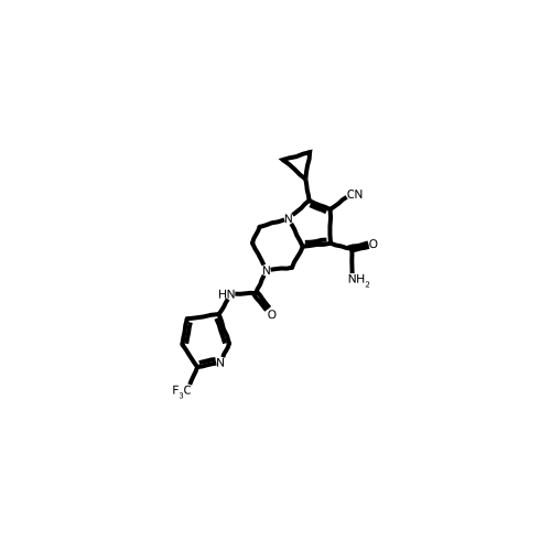 N#Cc1c(C(N)=O)c2n(c1C1CC1)CCN(C(=O)Nc1ccc(C(F)(F)F)nc1)C2